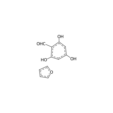 O=Cc1c(O)cc(O)cc1O.c1ccoc1